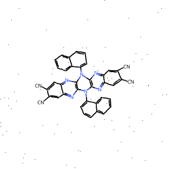 [C-]#[N+]c1cc2nc3c(nc2cc1[N+]#[C-])N(c1cccc2ccccc12)c1nc2cc(C#N)c(C#N)cc2nc1N3c1cccc2ccccc12